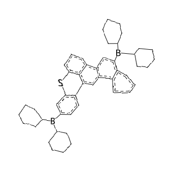 c1ccc2c(c1)c(B(C1CCCCC1)C1CCCCC1)cc1c3cccc4c3c(cc21)-c1ccc(B(C2CCCCC2)C2CCCCC2)cc1S4